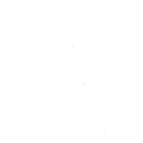 CC(C)(C)COCCNCCCN1CCOCC1